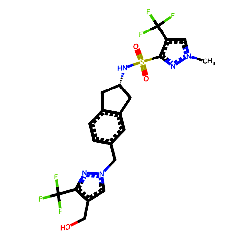 Cn1cc(C(F)(F)F)c(S(=O)(=O)N[C@H]2Cc3ccc(Cn4cc(CO)c(C(F)(F)F)n4)cc3C2)n1